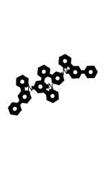 c1ccc(-c2ccc3c(c2)c2ccccc2n3-c2ccc3c(c2)-c2ccccc2-c2cc(-n4c5ccccc5c5cc(-c6ccccc6)ccc54)cc4c5ccccc5n-3c24)cc1